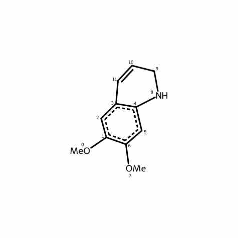 COc1cc2c(cc1OC)NCC=C2